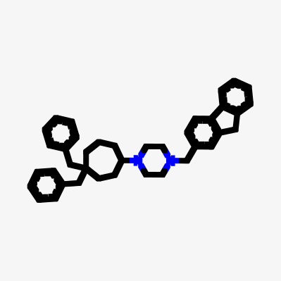 c1ccc(CC2(Cc3ccccc3)CCCC(N3CCN(Cc4ccc5c(c4)Cc4ccccc4-5)CC3)CC2)cc1